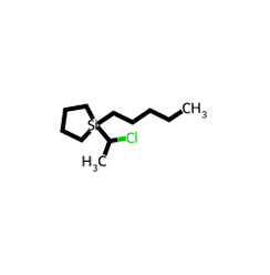 CCCCC[Si]1(C(C)Cl)CCCC1